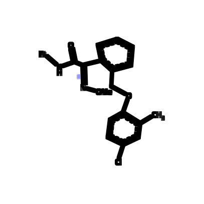 CCNC(=O)/C(=N/OC)c1ccccc1COc1ccc(Cl)cc1C